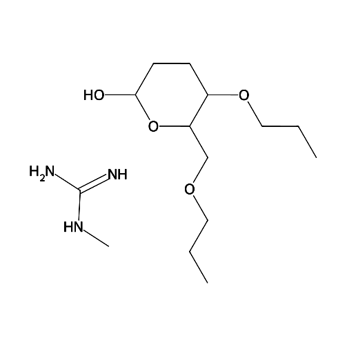 CCCOCC1OC(O)CCC1OCCC.CNC(=N)N